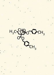 Cc1ccc(COC(=O)CC(O)(CC(C)C)C(=O)OCc2ccc(C)cc2)cc1